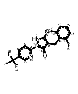 Cc1[nH]n(-c2ccc(C(F)(F)F)cn2)c(=O)c1Cc1c(F)cccc1Cl